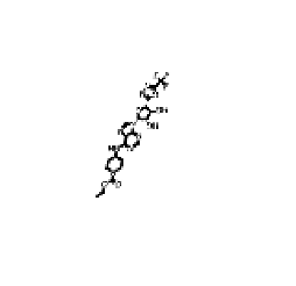 CCOC(=O)N1CCC(Nc2ncnc3c2ncn3[C@@H]2O[C@H](c3nnc(C(F)(F)F)o3)[C@@H](O)[C@@H]2O)CC1